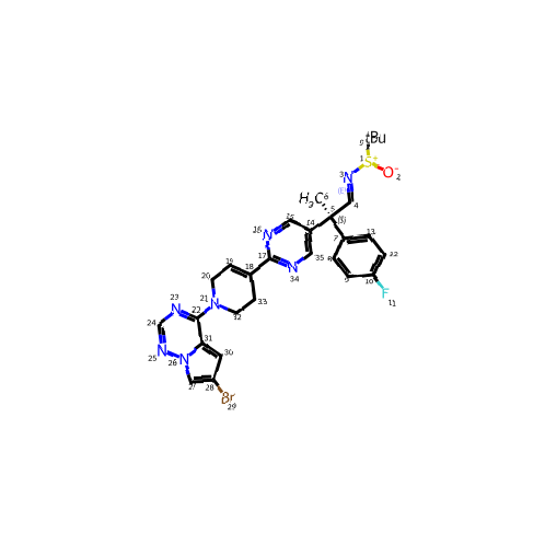 CC(C)(C)[S+]([O-])/N=C/[C@@](C)(c1ccc(F)cc1)c1cnc(C2=CCN(c3ncnn4cc(Br)cc34)CC2)nc1